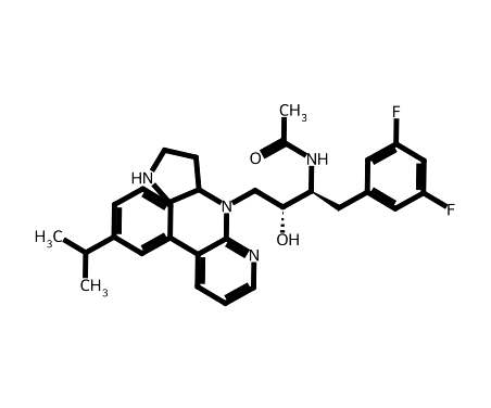 CC(=O)N[C@@H](Cc1cc(F)cc(F)c1)[C@H](O)CN(c1ncccc1-c1cccc(C(C)C)c1)C1CCNC1